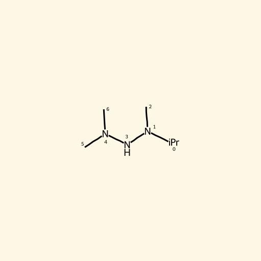 CC(C)N(C)NN(C)C